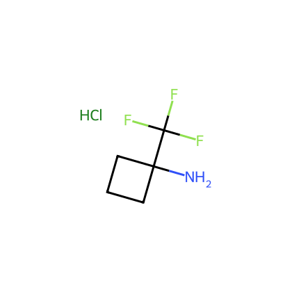 Cl.NC1(C(F)(F)F)CCC1